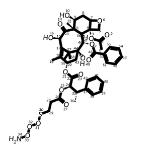 CC(=O)O[C@@]12COC1C[C@H](O)[C@@]1(C)C(=O)[C@H](O)C3=C(C)[C@@H](OC(=O)[C@H](OC(=O)CCSOOON)[C@@H](C)c4ccccc4)C[C@@](O)([C@@H](OC(=O)c4ccccc4)[C@@H]12)C3(C)C